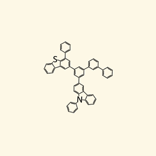 c1ccc(-c2cccc(-c3cc(-c4cc(-c5ccccc5)c5sc6ccccc6c5c4)cc(-c4ccc5c(c4)c4ccccc4n5-c4ccccc4)c3)c2)cc1